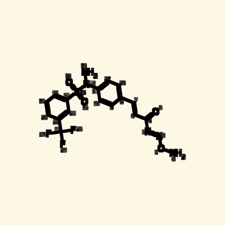 NON=NC(=O)/C=C/c1ccc(N(N)S(=O)(=O)c2cccc(C(F)(F)F)c2)cc1